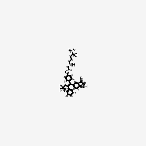 CN(C)C(=O)CCCNCCOc1ccc(C(=C(CC(F)(F)F)c2ccccc2)c2ccc3[nH]nc(F)c3c2)cc1